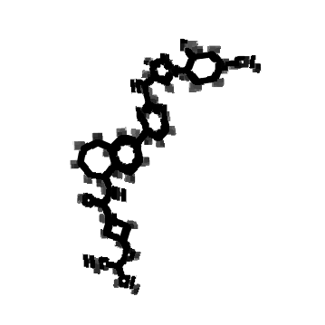 CC(C)OC1CN(C(=O)NC2CCCCc3cc(-c4ccnc(Nc5cnn(C6CCN(C)CC6F)c5)n4)ccc32)C1